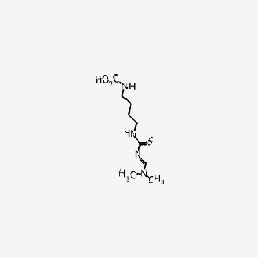 CN(C)C=NC(=S)NCCCCNC(=O)O